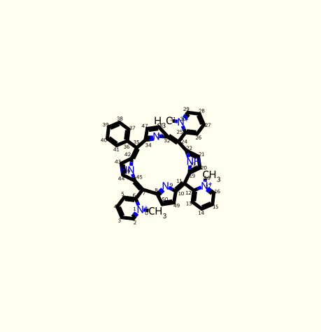 C[n+]1ccccc1-c1c2nc(c(-c3cccc[n+]3C)c3ccc([nH]3)c(-c3cccc[n+]3C)c3nc(c(-c4ccccc4)c4ccc1[nH]4)C=C3)C=C2